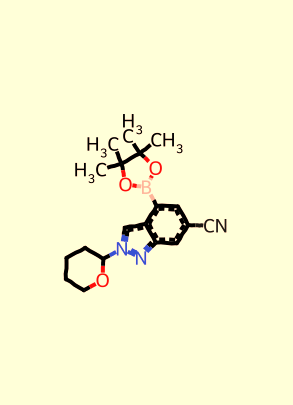 CC1(C)OB(c2cc(C#N)cc3nn(C4CCCCO4)cc23)OC1(C)C